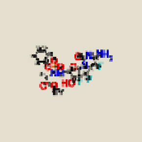 CC(C)OC(=O)[C@H](C)N[P@@](=O)(OC[C@H]1O[C@@H](n2cc(F)c(N)nc2=O)[C@@](F)(CF)C1O)Oc1ccccc1